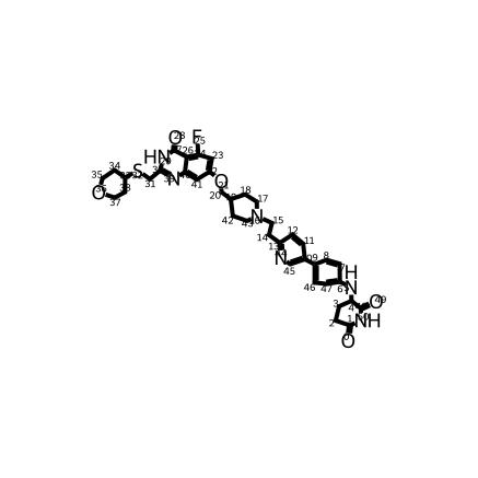 O=C1CCC(Nc2ccc(-c3ccc(CCN4CCC(COc5cc(F)c6c(=O)[nH]c(CSC7CCOCC7)nc6c5)CC4)nc3)cc2)C(=O)N1